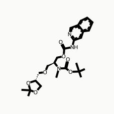 CN(C(=O)OC(C)(C)C)[C@@H](COC[C@@H]1COC(C)(C)O1)COC(=O)Nc1cc2ccccc2cn1